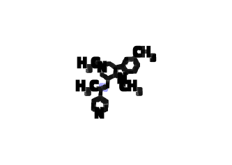 C/C(=C\C1CN(C)Cc2c1n(C)c1ccc(C)cc21)c1ccncc1